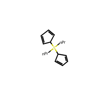 CCCS(CCC)(C1C=CC=C1)C1C=CC=C1